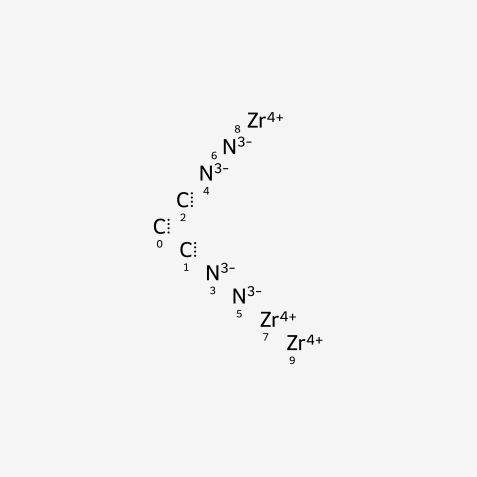 [C].[C].[C].[N-3].[N-3].[N-3].[N-3].[Zr+4].[Zr+4].[Zr+4]